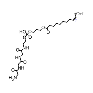 CCCCCCCC/C=C\CCCCCCCC(=O)OCCCOP(=O)(O)OCCNC(=O)CNC(=O)CNC(=O)CN